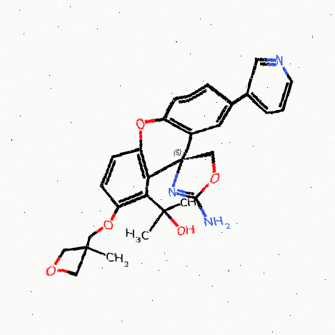 CC1(COc2ccc3c(c2C(C)(C)O)[C@]2(COC(N)=N2)c2cc(-c4cccnc4)ccc2O3)COC1